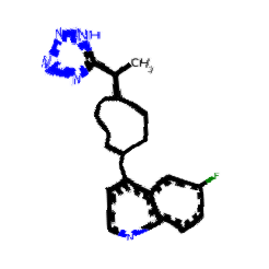 CC(c1nnn[nH]1)C1CCC(c2ccnc3ccc(F)cc23)CC1